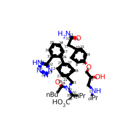 CC(C)NCC(O)COc1ccc(CC(N)=O)cc1.CCCCC(=O)N(Cc1ccc(-c2ccccc2-c2nnn[nH]2)cc1)[C@H](C(=O)O)C(C)C